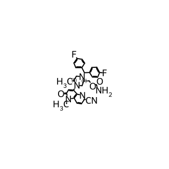 C[C@H]1CN(C(c2ccc(F)cc2)c2ccc(F)cc2)[C@@H](COC(N)=O)CN1c1cc(=O)n(C)c2ccc(C#N)nc12